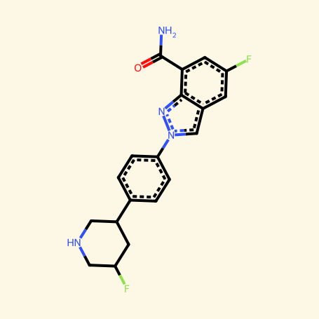 NC(=O)c1cc(F)cc2cn(-c3ccc(C4CNCC(F)C4)cc3)nc12